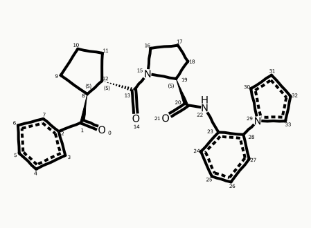 O=C(c1ccccc1)[C@H]1CCC[C@@H]1C(=O)N1CCC[C@H]1C(=O)Nc1ccccc1-n1cccc1